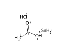 CC(=O)O.Cl.[SnH2]